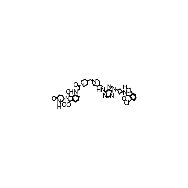 O=C1CC[C@H](N2C(=O)c3cccc(NCC(=O)N4CCC(CN5CCC(CNc6ncnc7c6ncn7C6CC(NC(=O)c7c(Cl)cccc7Cl)C6)CC5)CC4)c3C2=O)C(=O)N1